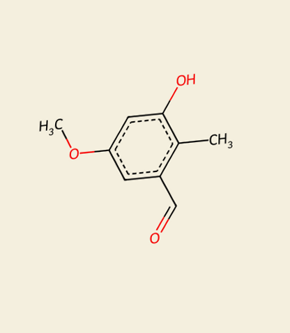 COc1cc(O)c(C)c(C=O)c1